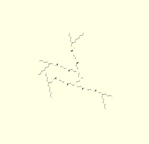 CCCCCCC(CCCC)CNC(=O)SCCOC(=O)CCN(CCC(=O)OCCSC(=O)NCC(CCCC)CCCCCC)CCN(C)CCN(CCC(=O)OCCSC(=O)NCC(CCCC)CCCCCC)CCC(=O)OCCSC(=O)NCC(CCCC)CCCCCC